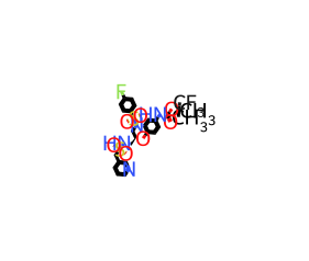 CC(C)(OC(=O)Nc1ccc2c(c1)N(S(=O)(=O)c1ccc(F)cc1)C[C@H](CNS(=O)(=O)Cc1cccnc1)O2)C(F)(F)F